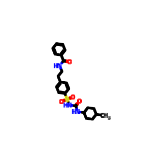 CC1CCC(NC(=O)NS(=O)(=O)c2ccc(CCNC(=O)c3ccccc3)cc2)CC1